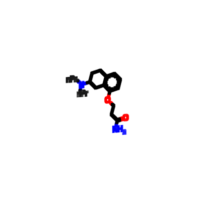 CCCN(CCC)C1CCc2cccc(OCCC(N)=O)c2C1